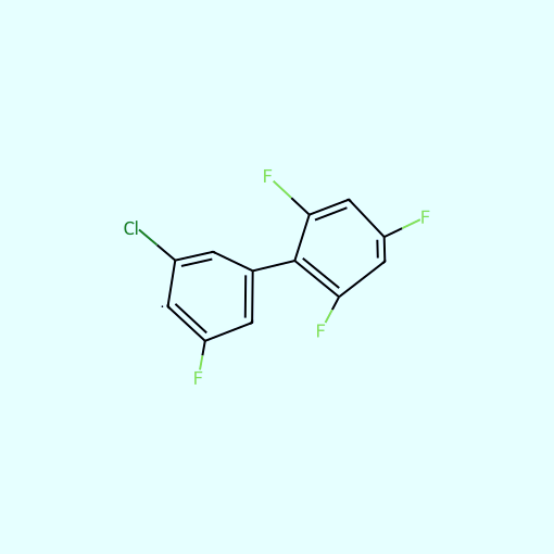 Fc1[c]c(Cl)cc(-c2c(F)cc(F)cc2F)c1